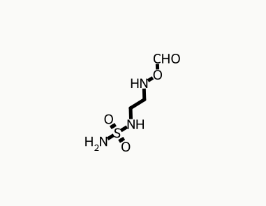 NS(=O)(=O)NCCNOC=O